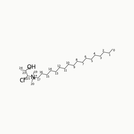 CCCCCCCCCCCCCCCCCC[N+](C)(C)C(Cl)C(C)O